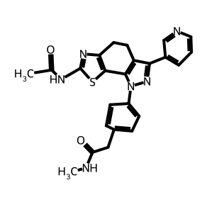 CNC(=O)Cc1ccc(-n2nc(-c3cccnc3)c3c2-c2sc(NC(C)=O)nc2CC3)cc1